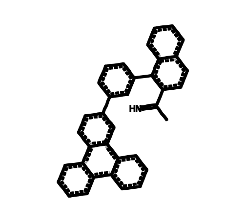 CC(=N)c1ccc2ccccc2c1-c1cccc(-c2ccc3c4ccccc4c4ccccc4c3c2)c1